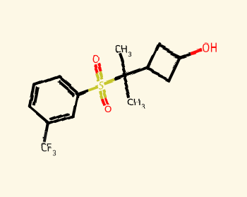 CC(C)(C1CC(O)C1)S(=O)(=O)c1cccc(C(F)(F)F)c1